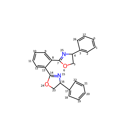 c1ccc(C2COC(c3ccccc3C3=NC(c4ccccc4)CO3)=N2)cc1